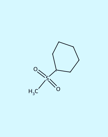 CS(=O)(=O)[C]1CCCCC1